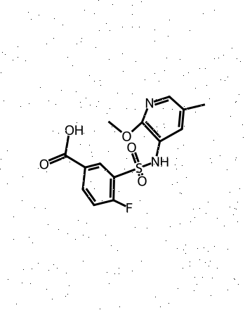 COc1ncc(C)cc1NS(=O)(=O)c1cc(C(=O)O)ccc1F